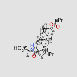 CCCC(=O)O[C@@H]1CC[C@]2(C)[C@H]3CCC4[C@@H]5[C@H](C(C)C)CC[C@]5(C(=O)N[C@@H](C)C(=O)O)CC[C@@]4(C)[C@]3(C)CC[C@H]2C1(C)C